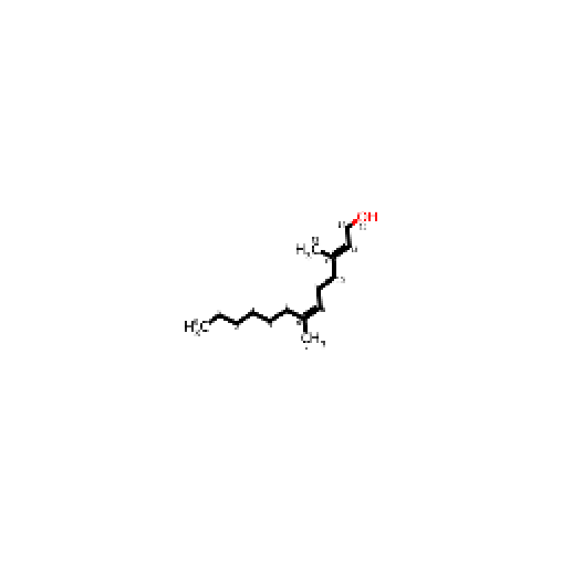 CCCCCCC(C)=CCC/C(C)=C/CO